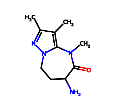 Cc1nn2c(c1C)N(C)C(=O)C(N)CC2